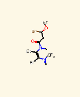 CCOC(Br)CC(=O)N(C)/C(CC)=C(/CC)N(C)C(F)(F)F